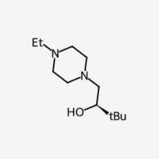 CCN1CCN(C[C@H](O)C(C)(C)C)CC1